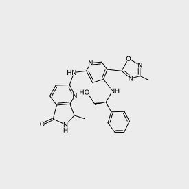 Cc1noc(-c2cnc(Nc3ccc4c(n3)C(C)NC4=O)cc2N[C@H](CO)c2ccccc2)n1